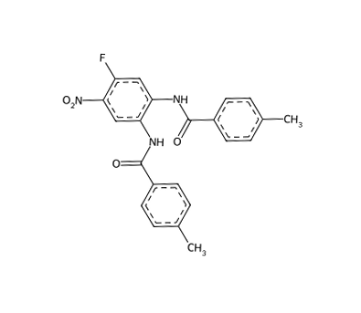 Cc1ccc(C(=O)Nc2cc(F)c([N+](=O)[O-])cc2NC(=O)c2ccc(C)cc2)cc1